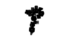 CC(C)(C)OC(=O)N[C@](I)(Cc1ccc(Nc2cc(-c3ccc(F)cc3)on2)cc1)C1CN(C2(c3cccc(C(C)(C)C)c3)CC2)C(=O)O1